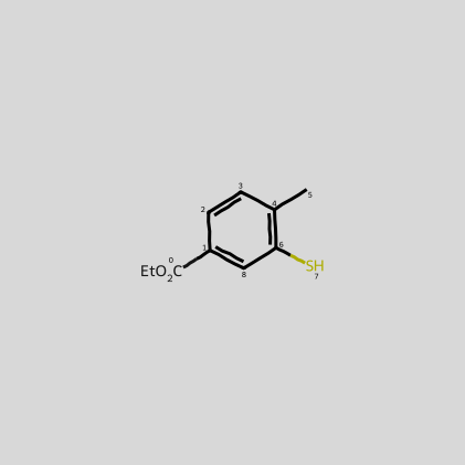 CCOC(=O)c1ccc(C)c(S)c1